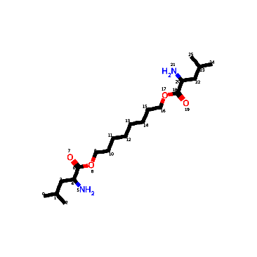 CC(C)CC(N)C(=O)OCCCCCCCCOC(=O)C(N)CC(C)C